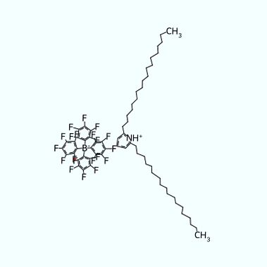 CCCCCCCCCCCCCCCCCCc1cccc(CCCCCCCCCCCCCCCCCC)[nH+]1.Fc1c(F)c(F)c([B-](c2c(F)c(F)c(F)c(F)c2F)(c2c(F)c(F)c(F)c(F)c2F)c2c(F)c(F)c(F)c(F)c2F)c(F)c1F